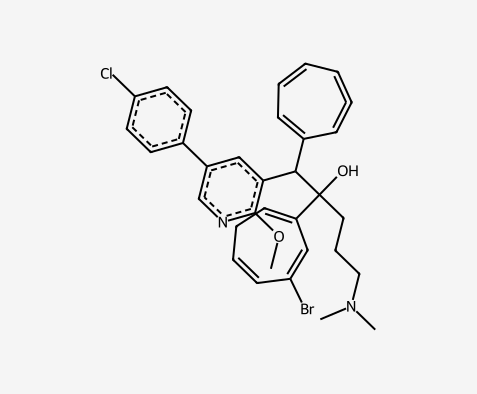 COc1ncc(-c2ccc(Cl)cc2)cc1C(C1=CC=CC=C=C1)C(O)(CCCN(C)C)C1=CCC=CC(Br)=C1